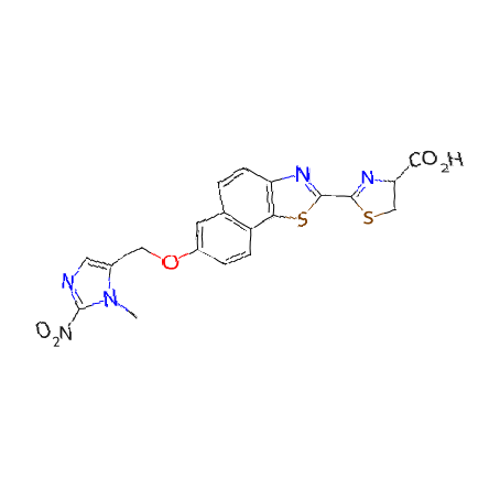 Cn1c(COc2ccc3c(ccc4nc(C5=NC(C(=O)O)CS5)sc43)c2)cnc1[N+](=O)[O-]